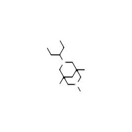 CCC(CC)N1CC2(C)CN(C)CC(C)(C1)C2